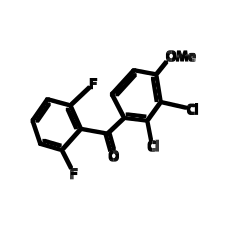 COc1ccc(C(=O)c2c(F)cccc2F)c(Cl)c1Cl